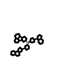 c1cc(-c2ccc3c(ccc4ccccc43)c2)cc(N(c2ccc(-c3cccc4ccccc34)cc2)c2ccc3c(c2)-c2cccc4cccc-3c24)c1